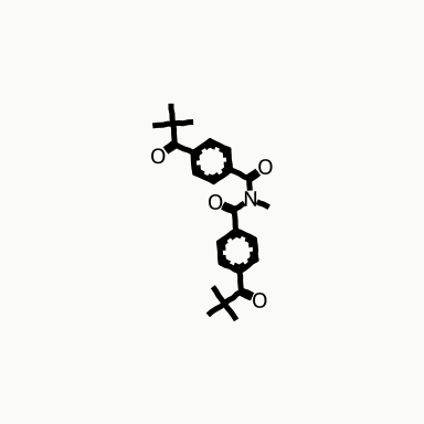 CN(C(=O)c1ccc(C(=O)C(C)(C)C)cc1)C(=O)c1ccc(C(=O)C(C)(C)C)cc1